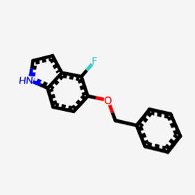 Fc1c(OCc2ccccc2)ccc2[nH]ccc12